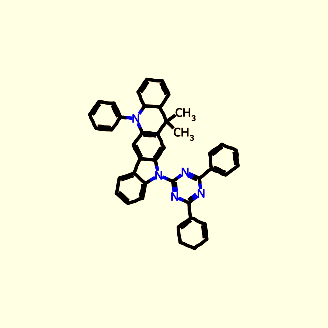 CC1(C)c2cc3c(cc2N(c2ccccc2)C2C=CC=CC21)c1ccccc1n3-c1nc(C2=CCCC=C2)nc(-c2ccccc2)n1